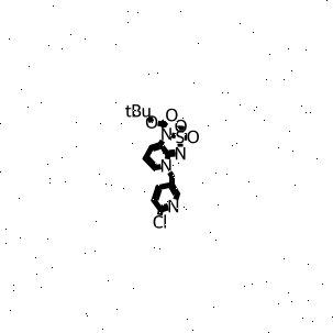 CC(C)(C)OC(=O)N1C2=CC=CN(Cc3ccc(Cl)nc3)C2=NS1(=O)=O